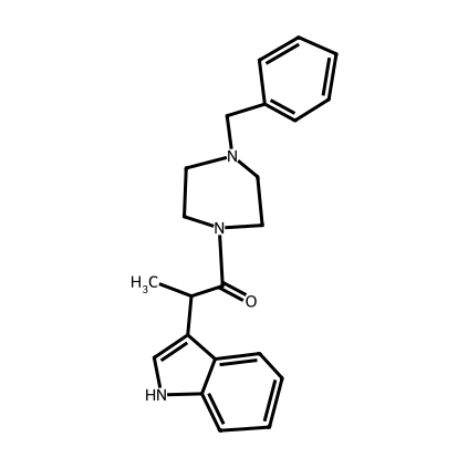 CC(C(=O)N1CCN(Cc2ccccc2)CC1)c1c[nH]c2ccccc12